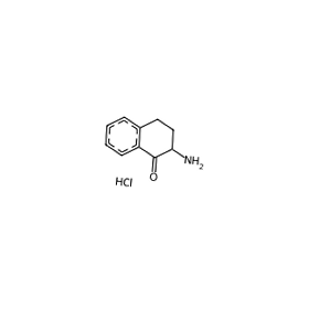 Cl.NC1CCc2ccccc2C1=O